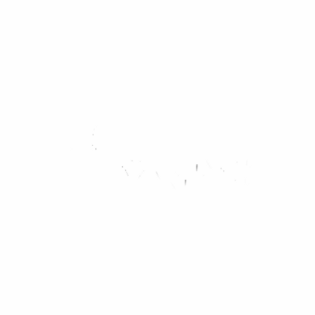 CCN(CC)c1ccc(-c2ccc(/C=C/c3cc[n+](CCC[N+](CC)(CC)CC)cc3)s2)s1